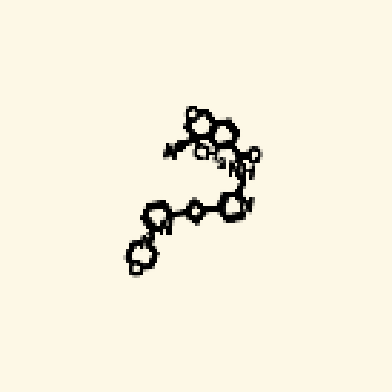 CC1(C#N)COCc2ccc(C(=O)NCc3cc(C4CC(c5cccc(N6CCOCC6)n5)C4)ccn3)cc21